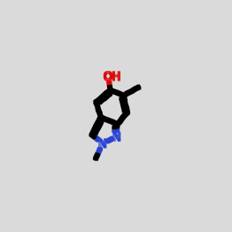 Cc1cc2nn(C)cc2cc1O